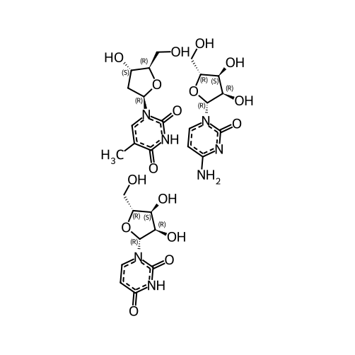 Cc1cn([C@H]2C[C@H](O)[C@@H](CO)O2)c(=O)[nH]c1=O.Nc1ccn([C@@H]2O[C@H](CO)[C@@H](O)[C@H]2O)c(=O)n1.O=c1ccn([C@@H]2O[C@H](CO)[C@@H](O)[C@H]2O)c(=O)[nH]1